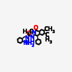 Cc1cc2c(-c3ccccc3)c(NC(=O)NCc3ccccc3N)n(C)c(=O)c2cc1C